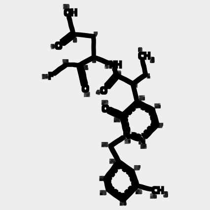 CCC(C(=O)NC(CC(=O)O)C(=O)CF)c1ccnn(Cc2cccc(C)c2)c1=O